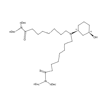 CCCCCCCCCCN(CCCCCCCCCC)C(=O)CCCCCCCN(CCCCCCCC(=O)N(CCCCCCCCCC)CCCCCCCCCC)[C@H]1CCC[C@@H](O)C1